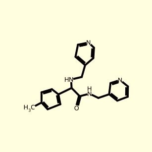 Cc1ccc(C(NCc2ccncc2)C(=O)NCc2cccnc2)cc1